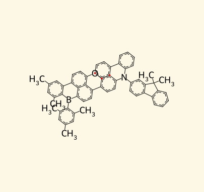 Cc1cc(C)c(B2c3c(C)cc(C)cc3-c3ccc4c5c(ccc2c35)-c2ccc(N(c3ccc5c(c3)C(C)(C)c3ccccc3-5)c3ccccc3-c3ccccc3)cc2O4)c(C)c1